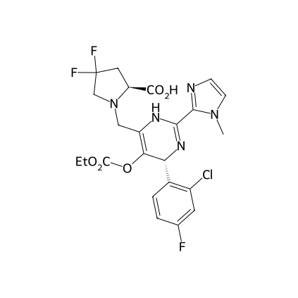 CCOC(=O)OC1=C(CN2CC(F)(F)C[C@H]2C(=O)O)NC(c2nccn2C)=N[C@@H]1c1ccc(F)cc1Cl